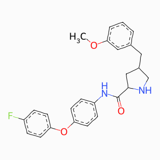 COc1cccc(CC2CNC(C(=O)Nc3ccc(Oc4ccc(F)cc4)cc3)C2)c1